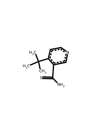 CC(C)(C)c1ccncc1C(N)=S